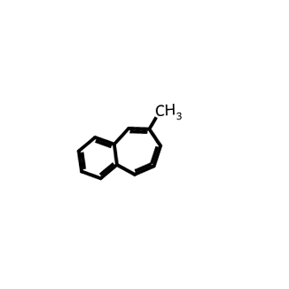 CC1=Cc2ccccc2C=C=C1